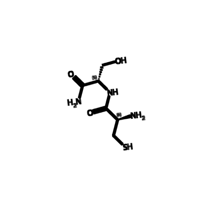 NC(=O)[C@H](CO)NC(=O)[C@@H](N)CS